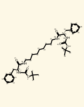 CC(C)(C)OC(=O)N[C@@H](Cc1ccccc1)C(=O)NCCCCCCCCCNC(=O)[C@H](Cc1ccccc1)NC(=O)OC(C)(C)C